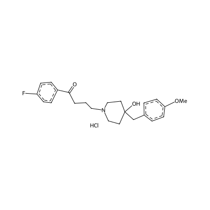 COc1ccc(CC2(O)CCN(CCCC(=O)c3ccc(F)cc3)CC2)cc1.Cl